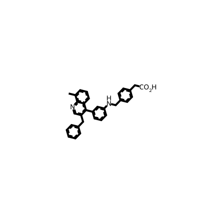 Cc1cccc2c(-c3cccc(NCc4ccc(CC(=O)O)cc4)c3)c(Cc3ccccc3)cnc12